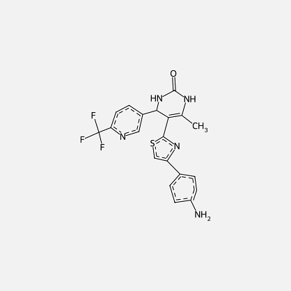 CC1=C(c2nc(-c3ccc(N)cc3)cs2)C(c2ccc(C(F)(F)F)nc2)NC(=O)N1